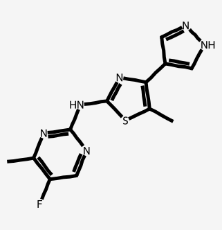 Cc1nc(Nc2nc(-c3cn[nH]c3)c(C)s2)ncc1F